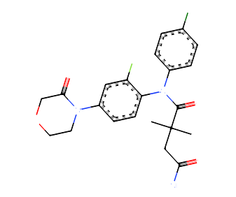 CC(C)(CC(N)=O)C(=O)N(c1ccc(Cl)cc1)c1ccc(N2CCOCC2=O)cc1F